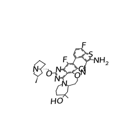 C[C@H]1CN2CCC[C@@]2(COc2nc3c4c(c(Cl)c(-c5ccc(F)c6sc(N)c(C#N)c56)c(F)c4n2)OCCC2CC(C)(O)CCCN32)C1